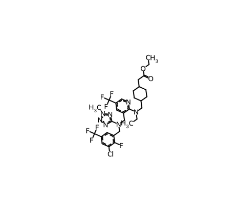 CCOC(=O)CC1CCC(CN(CC)c2ncc(C(F)(F)F)cc2CN(Cc2cc(C(F)(F)F)cc(Cl)c2F)c2nnn(C)n2)CC1